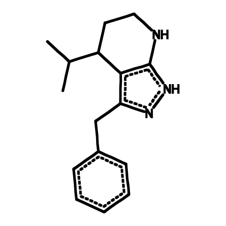 CC(C)C1CCNc2[nH]nc(Cc3ccccc3)c21